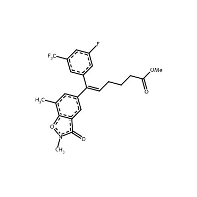 COC(=O)CCCC=C(c1cc(F)cc(C(F)(F)F)c1)c1cc(C)c2on(C)c(=O)c2c1